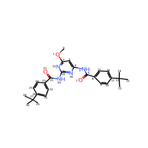 COc1cc(NC(=O)c2ccc(C(C)(C)C)cc2)nc(NC(=O)c2ccc(C(C)(C)C)cc2)n1